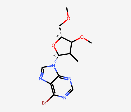 COC[C@H]1O[C@@H](n2cnc3c(Br)ncnc32)C(C)C1OC